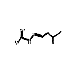 CC(C)C/C=N/NC(=N)N